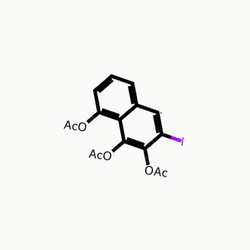 CC(=O)Oc1c(I)[c]c2cccc(OC(C)=O)c2c1OC(C)=O